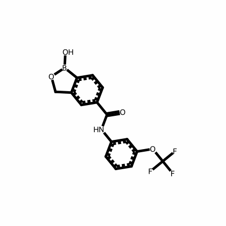 O=C(Nc1cccc(OC(F)(F)F)c1)c1ccc2c(c1)COB2O